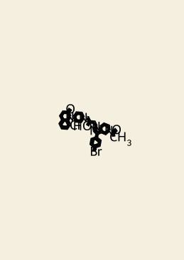 CC(=O)N1CCc2c(c(-c3ccc(Br)cc3)nn2CC(O)CN2CCC(N3C(=O)CCc4cccc(Cl)c43)CC2)C1